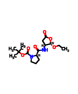 CCO[C@H]1OC(=O)C[C@@H]1NC(=O)[C@H]1CCCN1C(=O)OC(C)(C)C